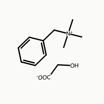 C[N+](C)(C)Cc1ccccc1.O=C([O-])CO